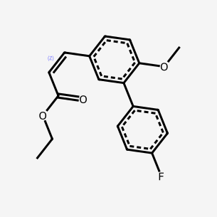 CCOC(=O)/C=C\c1ccc(OC)c(-c2ccc(F)cc2)c1